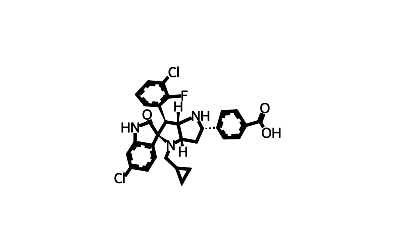 O=C(O)c1ccc([C@@H]2C[C@H]3[C@@H](N2)[C@H](c2cccc(Cl)c2F)[C@]2(C(=O)Nc4cc(Cl)ccc42)N3CC2CC2)cc1